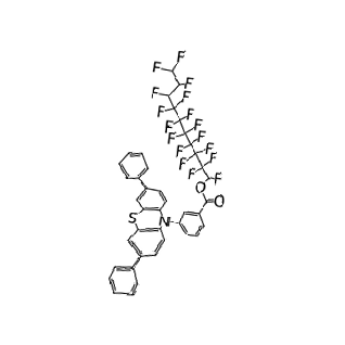 O=C(OC(F)C(F)(F)C(F)(F)C(F)(F)C(F)(F)C(F)(F)C(F)(F)C(F)C(F)C(F)F)c1cccc(N2c3ccc(-c4ccccc4)cc3Sc3cc(-c4ccccc4)ccc32)c1